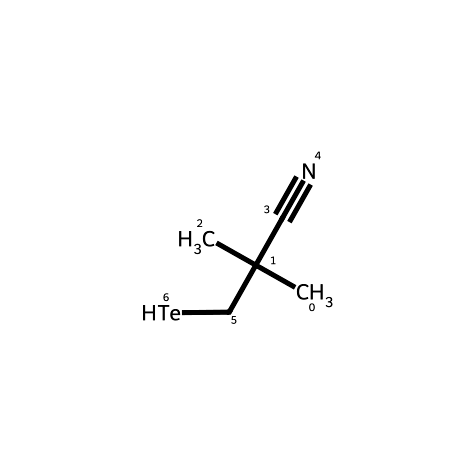 CC(C)(C#N)C[TeH]